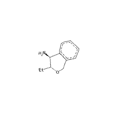 CCC1OCc2ccccc2[C@@H]1N